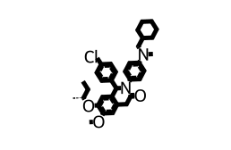 CC[C@@H](C)Oc1cc2c(cc1OC)CC(=O)N(c1ccc(N(C)CC3CCCCC3)cc1)C2c1ccc(Cl)cc1